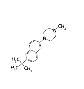 CN1CCN(c2ccc3cc(C(C)(C)C)ccc3c2)CC1